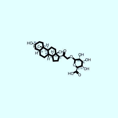 C[C@]12CC[C@@H](O)C[C@@H]1CC[C@@H]1[C@@H]2CC[C@]2(C)[C@@H](C(=O)COC3O[C@H](C(=O)O)[C@@H](O)[C@@H](O)[C@H]3O)CC[C@@H]12